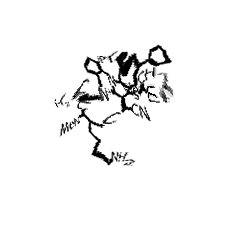 C=C(CC)SC(=C)C1=C(C#N)CCC(CC/C=C\N)C(NC)CC(=C)[n+]2c1n(-c1c(C(C)C)cc(-c3ccccc3)cc1C(C)C)c1ccccc12